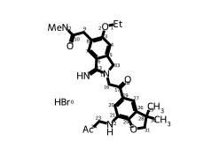 Br.CCOc1cc2c(cc1CC(=O)NC)C(=N)N(CC(=O)c1cc(NCC(C)=O)c3c(c1)C(C)(C)CO3)C2